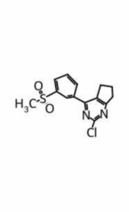 CS(=O)(=O)c1cccc(-c2nc(Cl)nc3c2CCC3)c1